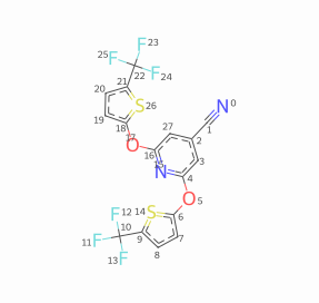 N#Cc1cc(Oc2ccc(C(F)(F)F)s2)nc(Oc2ccc(C(F)(F)F)s2)c1